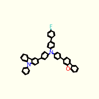 Fc1ccc(-c2ccc(N(c3ccc(-c4ccc5c(c4)oc4ccccc45)cc3)c3ccc(-c4ccc5c(c4)c4ccccc4n5-c4ccccc4)cc3)cc2)cc1